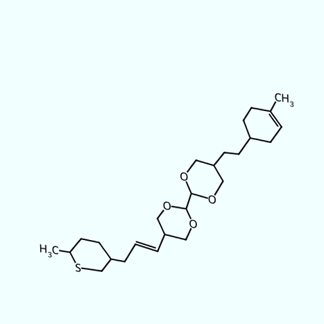 CC1=CCC(CCC2COC(C3OCC(/C=C/CC4CCC(C)SC4)CO3)OC2)CC1